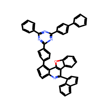 c1ccc(-c2ccc(-c3nc(-c4ccccc4)nc(-c4ccc(-c5cccc6nc(-c7cccc8ccccc78)c7c8ccccc8oc7c56)cc4)n3)cc2)cc1